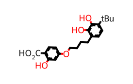 CC(C)(C)c1ccc(CCCCOc2ccc(C(=O)O)c(O)c2)c(O)c1O